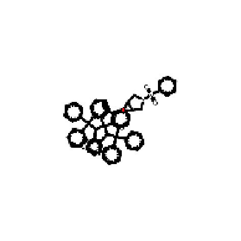 O=C1N(C2C3CN(S(=O)(=O)c4ccccc4)CC32)C(=S)NC1(C(c1c[nH]cn1)C(c1ccccc1)(c1ccccc1)c1ccccc1)C(c1c[nH]cn1)C(c1ccccc1)(c1ccccc1)c1ccccc1